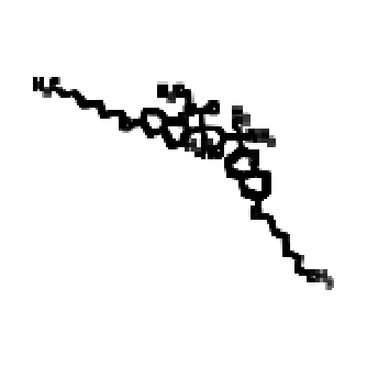 CCCCCCCOc1ccc2nc(C(N)(CC(O)C(C)(N)c3ccc4cc(OCCCCCCC)ccc4n3)C(=O)OCC)ccc2c1